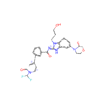 C/C=C(\C=C/N(C=O)C(F)F)c1cccc(C(=O)/N=c2\[nH]c3cc(N4CCOCC4=O)ccc3n2CCCO)c1